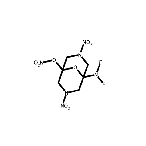 O=[N+]([O-])OC12CN([N+](=O)[O-])CC(N(F)F)(CN([N+](=O)[O-])C1)O2